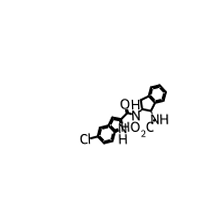 O=C(O)N[C@H]1c2ccccc2C[C@@H]1NC(=O)c1cc2cc(Cl)ccc2[nH]1